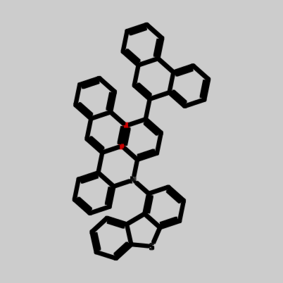 c1ccc(N(c2ccc(-c3cc4ccccc4c4ccccc34)cc2)c2cccc3sc4ccccc4c23)c(-c2ccc3ccccc3c2)c1